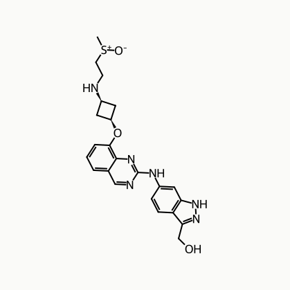 C[S+]([O-])CCN[C@H]1C[C@@H](Oc2cccc3cnc(Nc4ccc5c(CO)n[nH]c5c4)nc23)C1